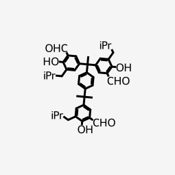 CC(C)Cc1cc(C(C)(C)c2ccc(C(C)(c3cc(C=O)c(O)c(CC(C)C)c3)c3cc(C=O)c(O)c(CC(C)C)c3)cc2)cc(C=O)c1O